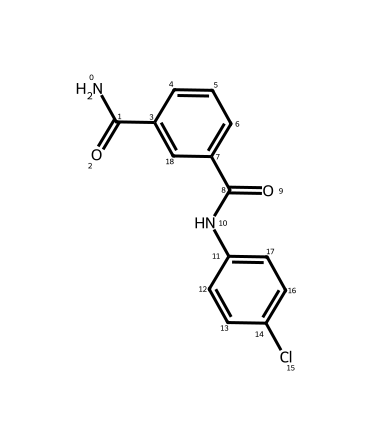 NC(=O)c1cccc(C(=O)Nc2ccc(Cl)cc2)c1